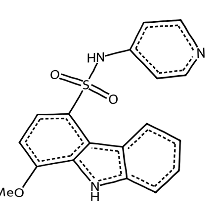 COc1ccc(S(=O)(=O)Nc2ccncc2)c2c1[nH]c1ccccc12